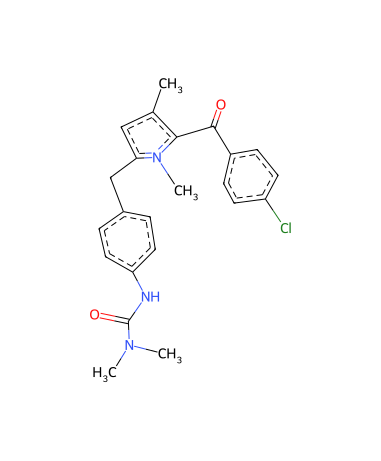 Cc1cc(Cc2ccc(NC(=O)N(C)C)cc2)n(C)c1C(=O)c1ccc(Cl)cc1